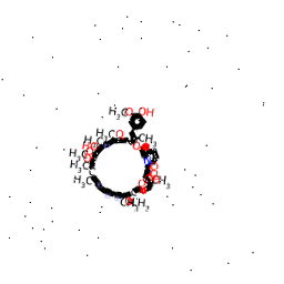 COC1C[C@@H]2CC[C@@H](C)[C@@](O)(O2)C(=O)C(=O)N2CCCC[C@H]2C(=O)O[C@H]([C@H](C)C[C@@H]2CC[C@@H](O)[C@H](OC)C2)CC(=O)[C@H](C)/C=C(\C)[C@@H](O)[C@@H](OC)C(=O)C(C)C[C@H](C)/C=C/C=C/C=C/1C